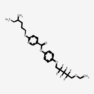 CCOCC(F)(F)C(F)(F)C(F)(F)COc1ccc(OC(=O)c2ccc(OCCCC(C)CC)nc2)cc1